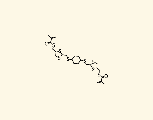 C=C(C)C(=O)SCC1CSC(CSC2CCC(SCC3SCC(CSC(=O)C(=C)C)S3)CC2)S1